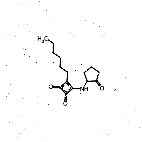 CCCCCCc1c(NC2CCCC2=O)c(=O)c1=O